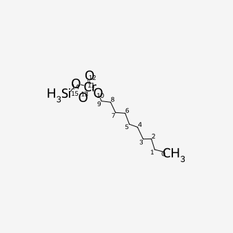 CCCCCCCCCC[O][Cr](=[O])(=[O])[O][SiH3]